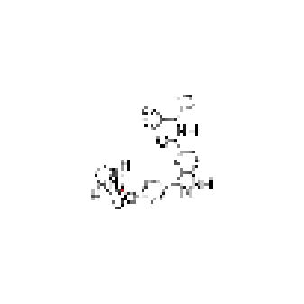 O=CN1[C@@H]2CC[C@H]1C[C@H](Oc1ccc(-c3n[nH]c4ccc(C(=O)NC(c5ccsc5)C5CCC5)cc34)cc1)C2